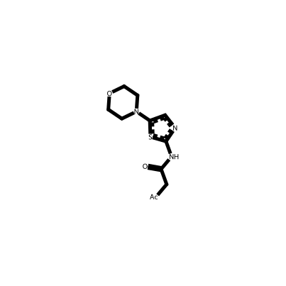 CC(=O)CC(=O)Nc1ncc(N2CCOCC2)s1